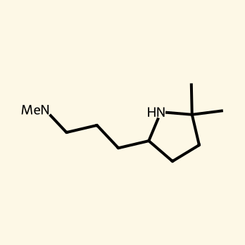 CNCCCC1CCC(C)(C)N1